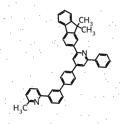 Cc1cccc(-c2cccc(-c3ccc(-c4cc(-c5ccccc5)nc(-c5ccc6c(c5)C(C)(C)c5ccccc5-6)c4)cc3)c2)n1